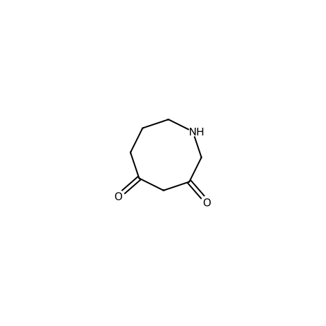 O=C1CCCNCC(=O)C1